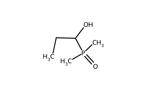 CCC(O)P(C)(C)=O